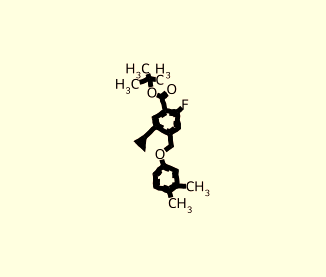 Cc1ccc(OCc2cc(F)c(C(=O)OC(C)(C)C)cc2C2CC2)cc1C